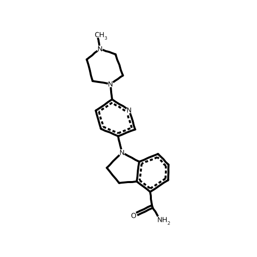 CN1CCN(c2ccc(N3CCc4c(C(N)=O)cccc43)cn2)CC1